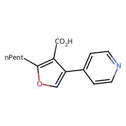 CCCCCc1occ(-c2ccncc2)c1C(=O)O